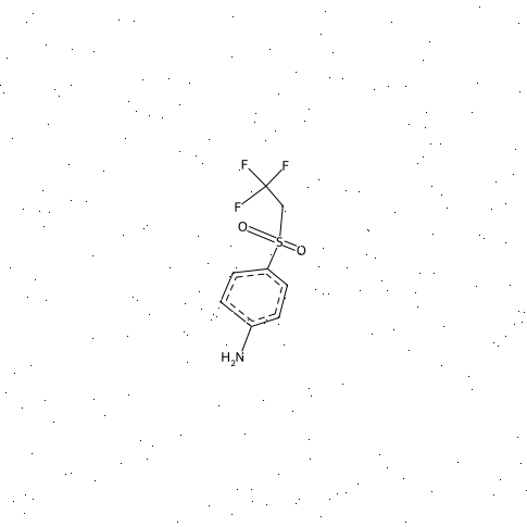 Nc1ccc(S(=O)(=O)CC(F)(F)F)cc1